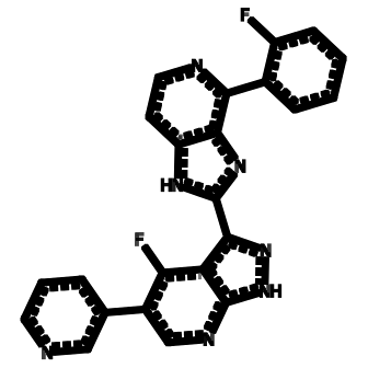 Fc1ccccc1-c1nccc2[nH]c(-c3n[nH]c4ncc(-c5cccnc5)c(F)c34)nc12